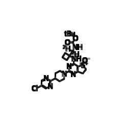 [2H]C([2H])(NC(=O)OC(C)(C)C)C1(Nc2nc(N3CCC(c4ncc(Cl)cn4)CC3)nc3c2[S@+]([O-])CC3)CCC1